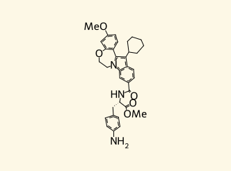 COC(=O)[C@H](Cc1ccc(N)cc1)NC(=O)c1ccc2c(C3CCCCC3)c3n(c2c1)CCOc1cc(OC)ccc1-3